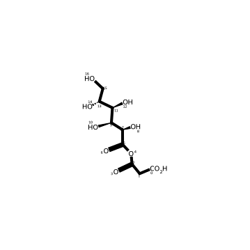 O=C(O)CC(=O)OC(=O)[C@H](O)[C@@H](O)[C@H](O)[C@H](O)CO